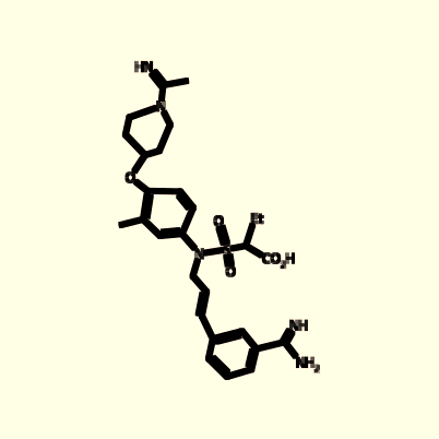 CCC(C(=O)O)S(=O)(=O)N(C/C=C/c1cccc(C(=N)N)c1)c1ccc(OC2CCN(C(C)=N)CC2)c(C)c1